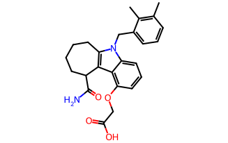 Cc1cccc(Cn2c3c(c4c(OCC(=O)O)cccc42)C(C(N)=O)CCCC3)c1C